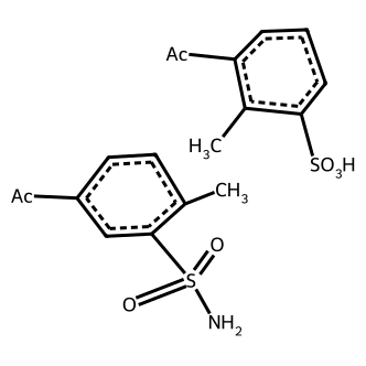 CC(=O)c1ccc(C)c(S(N)(=O)=O)c1.CC(=O)c1cccc(S(=O)(=O)O)c1C